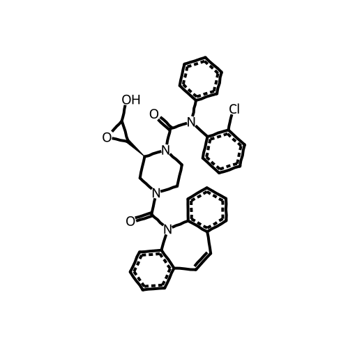 O=C(N1CCN(C(=O)N(c2ccccc2)c2ccccc2Cl)[C@H](C2OC2O)C1)N1c2ccccc2C=Cc2ccccc21